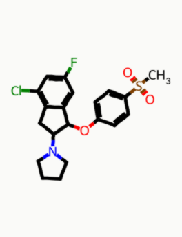 CS(=O)(=O)c1ccc(OC2c3cc(F)cc(Cl)c3CC2N2CCCC2)cc1